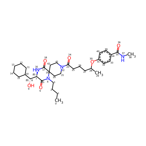 CCCCN1C(=O)[C@@H]([C@H](O)C2CCCCC2)NC(=O)C12CCN(C(=O)CCCC(C)Oc1ccc(C(=O)NC)cc1)CC2